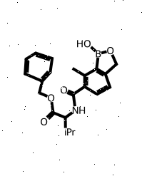 Cc1c(C(=O)NC(C(=O)OCc2ccccc2)C(C)C)ccc2c1B(O)OC2